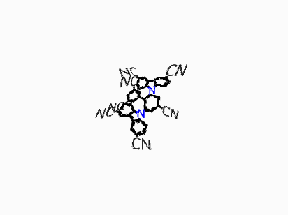 N#Cc1cc(C#N)cc(-c2c(-n3c4ccc(C#N)cc4c4cc(C#N)ccc43)cc(C#N)cc2-n2c3ccc(C#N)cc3c3cc(C#N)ccc32)c1